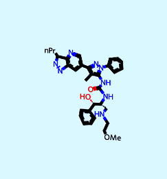 CCCC1N=Nc2cc(-c3nn(-c4ccccc4)c(NC(=O)N[C@H](CNCCOC)[C@@H](O)c4ccccc4)c3C)cnc21